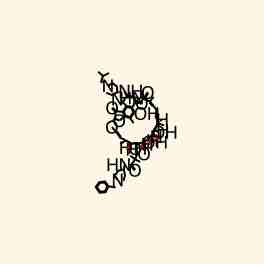 C/C1=C/C=C/[C@H](C)[C@H](O)[C@@H](C)[C@@H](O)[C@@H](C)[C@H](OC(=O)C(C)(C)C(=O)NC2CCN(Cc3ccccc3)CC2)[C@H](C)[C@@H](C)/C=C/O[C@@]2(C)Oc3c(C)c(O)c4c(c3C2=O)C2=NC3(CCN(CC(C)C)CC3)NC2=C(NC1=O)C4=O